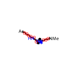 CNCCOCCOCCOCCn1nnc2c1-c1ccccc1CN(C(=O)CCCCC(=O)NCCOCCOCCOCCOCCC(C)=O)c1ccccc1-2